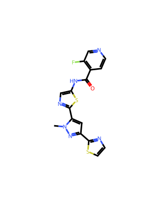 Cn1nc(-c2nccs2)cc1-c1ncc(NC(=O)c2ccncc2F)s1